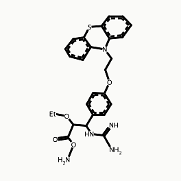 CCOC(C(=O)ON)C(NC(=N)N)c1ccc(OCCN2c3ccccc3Sc3ccccc32)cc1